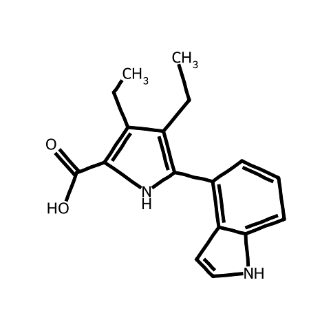 CCc1c(C(=O)O)[nH]c(-c2cccc3[nH]ccc23)c1CC